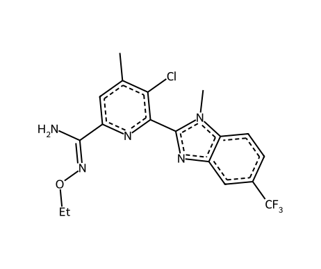 CCON=C(N)c1cc(C)c(Cl)c(-c2nc3cc(C(F)(F)F)ccc3n2C)n1